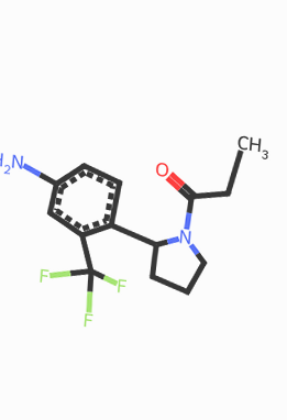 CCC(=O)N1CCCC1c1ccc(N)cc1C(F)(F)F